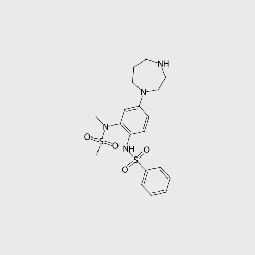 CN(c1cc(N2CCCNCC2)ccc1NS(=O)(=O)c1ccccc1)S(C)(=O)=O